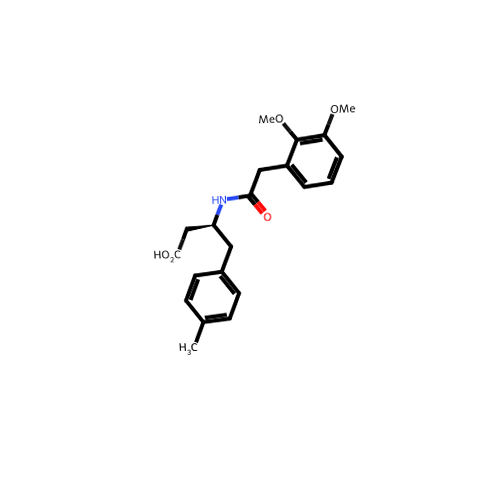 COc1cccc(CC(=O)N[C@H](CC(=O)O)Cc2ccc(C)cc2)c1OC